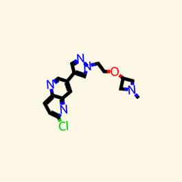 CN1CC(OCCn2cc(-c3cnc4ccc(Cl)nc4c3)cn2)C1